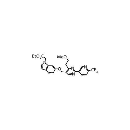 CCOC(=O)Cn1ccc2ccc(OCc3cnc(-c4ccc(C(F)(F)F)nc4)nc3CCOC)cc21